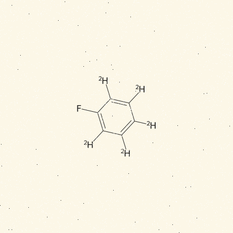 [2H]c1c([2H])c([2H])c(F)c([2H])c1[2H]